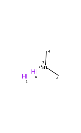 I.I.[CH3][Sn][CH3]